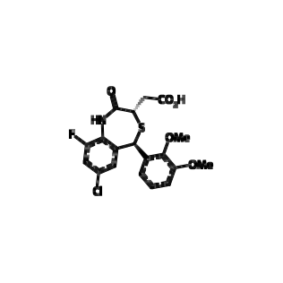 COc1cccc([C@@H]2S[C@@H](CC(=O)O)C(=O)Nc3c(F)cc(Cl)cc32)c1OC